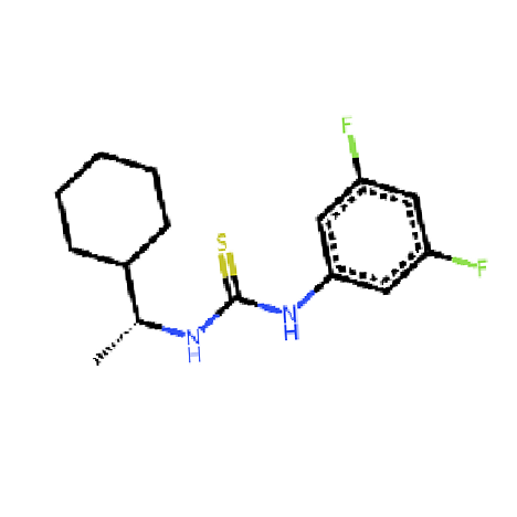 C[C@@H](NC(=S)Nc1cc(F)cc(F)c1)C1CCCCC1